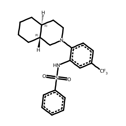 O=S(=O)(Nc1cc(C(F)(F)F)ccc1N1CC[C@@H]2CCCC[C@H]2C1)c1ccccc1